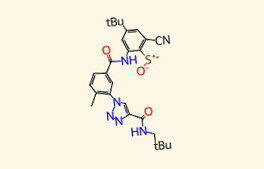 Cc1ccc(C(=O)Nc2cc(C(C)(C)C)cc(C#N)c2[S+](C)[O-])cc1-n1cc(C(=O)NCC(C)(C)C)nn1